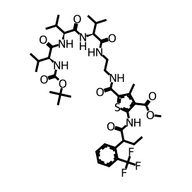 CCC(C(=O)Nc1sc(C(=O)NCCNC(=O)[C@@H](NC(=O)[C@@H](NC(=O)[C@@H](NC(=O)OC(C)(C)C)C(C)C)C(C)C)C(C)C)c(C)c1C(=O)OC)c1ccccc1C(F)(F)F